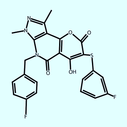 Cc1nn(C)c2c1c1oc(=O)c(Sc3cccc(F)c3)c(O)c1c(=O)n2Cc1ccc(F)cc1